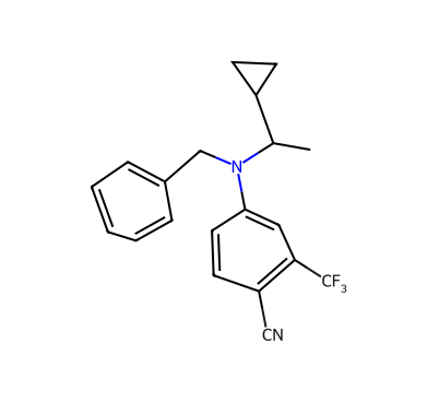 CC(C1CC1)N(Cc1ccccc1)c1ccc(C#N)c(C(F)(F)F)c1